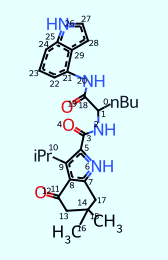 CCCCC(NC(=O)c1[nH]c2c(c1C(C)C)C(=O)CC(C)(C)C2)C(=O)Nc1cccc2[nH]ccc12